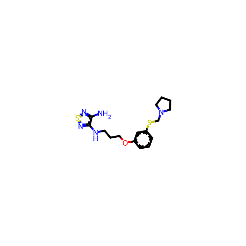 Nc1nsnc1NCCCOc1cccc(SCN2CCCC2)c1